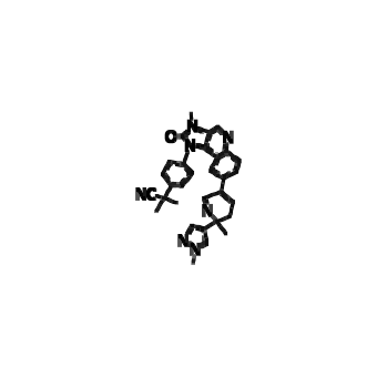 Cn1cc(C2(C)CC=C(c3ccc4ncc5c(c4c3)n(-c3ccc(C(C)(C)C#N)cc3)c(=O)n5C)C=N2)cn1